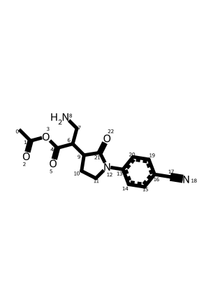 CC(=O)OC(=O)C(CN)C1CCN(c2ccc(C#N)cc2)C1=O